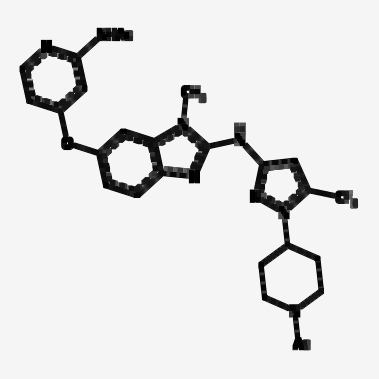 CC(=O)Nc1cc(Oc2ccc3nc(Nc4cc(C(F)(F)F)n(C5CCN(C(C)=O)CC5)n4)n(C)c3c2)ccn1